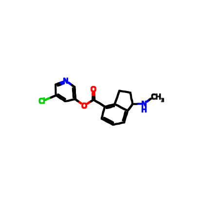 CNC1CCc2c(C(=O)Oc3cncc(Cl)c3)cccc21